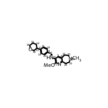 COc1nc2c(cc1NSc1ccc(C3CCCOC3)cc1)CCN(C)CC2